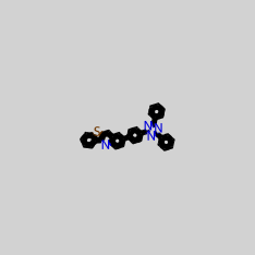 c1ccc(-c2nc(-c3ccccc3)nc(-c3ccc(-c4ccc5nc6c(cc5c4)sc4ccccc46)cc3)n2)cc1